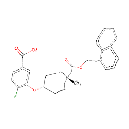 C[C@]1(C(=O)OCc2cccc3ccccc23)CC[C@@H](Oc2cc(C(=O)O)ccc2F)CC1